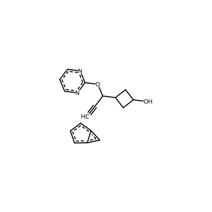 C#CC(Oc1ncccn1)C1CC(O)C1.c1cc2cc-2c1